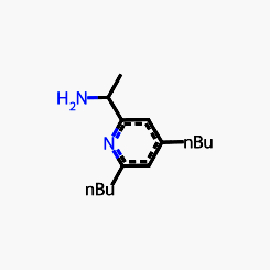 CCCCc1cc(CCCC)nc(C(C)N)c1